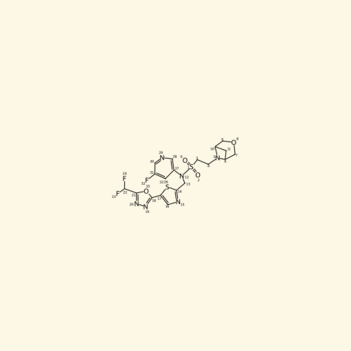 O=S(=O)(CCN1C2COCC1C2)N(Cc1ncc(-c2nnc(C(F)F)o2)s1)c1cncc(F)c1